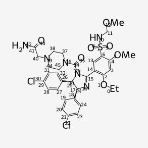 CCOc1cc(OC)c(S(=O)(=O)NCOC)cc1C1=N[C@@H](c2ccc(Cl)cc2)[C@@H](c2ccc(Cl)cc2)N1C(=O)N1CCN(CC(N)=O)CC1